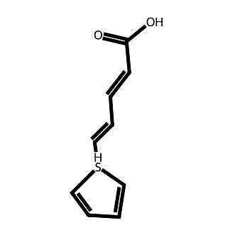 O=C(O)C=CC=C[SH]1C=CC=C1